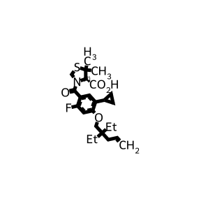 C=CCC(CC)(CC)COc1cc(F)c(C(=O)N2CSC(C)(C)[C@H]2C(=O)O)cc1C1CC1